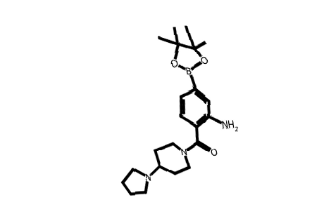 CC1(C)OB(c2ccc(C(=O)N3CCC(N4CCCC4)CC3)c(N)c2)OC1(C)C